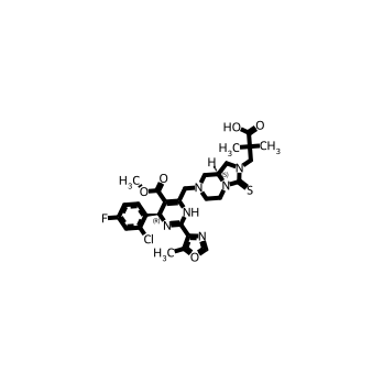 COC(=O)C1=C(CN2CCN3C(=S)N(CC(C)(C)C(=O)O)C[C@@H]3C2)NC(c2ncoc2C)=N[C@H]1c1ccc(F)cc1Cl